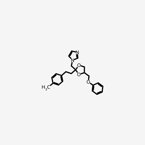 Cc1ccc(CCC2(Cn3ccnc3)OCC(COc3ccccc3)O2)cc1